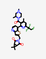 Cc1cc(C(F)(F)CF)nc(-c2ccnc3cc(CN4C(=O)C5C(C4=O)C5(C)C)sc23)c1C(=O)N1CCN(C)CC1C